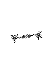 CCO[Si](CCCCSSSSSSCCCC[Si](OCC)(OCC)OCC)(OCC)OCC